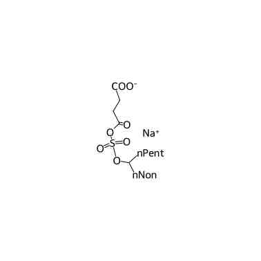 CCCCCCCCCC(CCCCC)OS(=O)(=O)OC(=O)CCC(=O)[O-].[Na+]